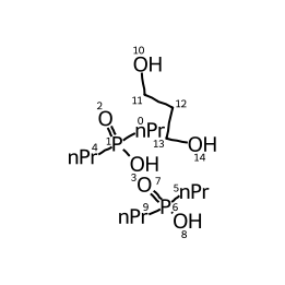 CCCP(=O)(O)CCC.CCCP(=O)(O)CCC.OCCCO